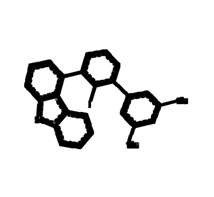 CC(C)(C)c1cc(-c2cccc(-c3cccc4sc5ccccc5c34)c2I)cc(C(C)(C)C)c1